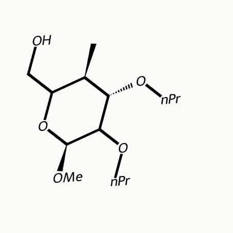 CCCOC1[C@@H](OC)OC(CO)[C@@H](C)[C@@H]1OCCC